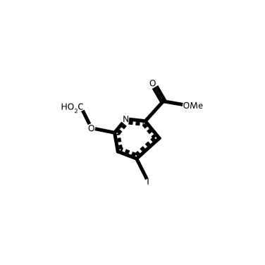 COC(=O)c1cc(I)cc(OC(=O)O)n1